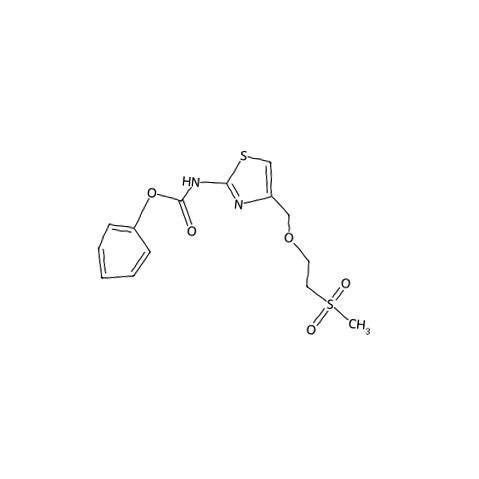 CS(=O)(=O)CCOCc1csc(NC(=O)Oc2ccccc2)n1